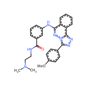 COc1ccc(-c2nnc3c4ccccc4c(Nc4cccc(C(=O)NCCN(C)C)c4)nn23)cc1